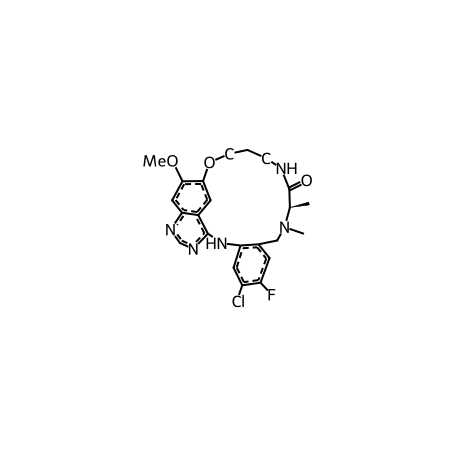 COc1cc2ncnc3c2cc1OCCCNC(=O)[C@@H](C)N(C)Cc1cc(F)c(Cl)cc1N3